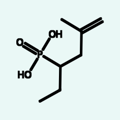 C=C(C)CC(CC)P(=O)(O)O